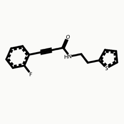 O=C(C#Cc1ccccc1F)NCCc1cccs1